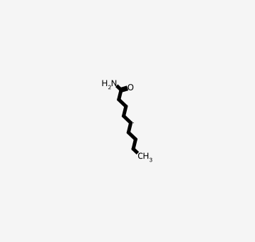 CCCC[CH]CCCC(N)=O